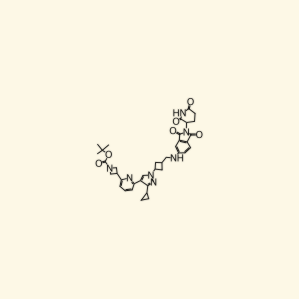 CC(C)(C)OC(=O)N1CC(c2cccc(-c3cn(C4CC(CNc5ccc6c(c5)C(=O)N(C5CCC(=O)NC5=O)C6=O)C4)nc3C3CC3)n2)C1